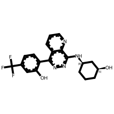 Oc1cc(C(F)(F)F)ccc1-c1nnc(N[C@@H]2CCC[C@H](O)C2)c2ncccc12